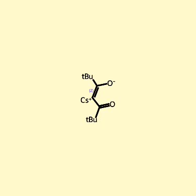 CC(C)(C)C(=O)/C=C(\[O-])C(C)(C)C.[Cs+]